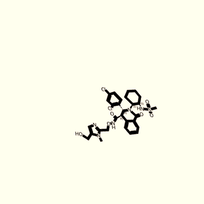 Cn1c(CO)cnc1CONC(=O)[C@@H]1c2ccccc2C(=O)N([C@H]2CCCC[C@@H]2NS(C)(=O)=O)[C@H]1c1ccc(Cl)cc1Cl